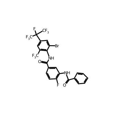 O=C(Nc1cc(C(=O)Nc2c(Br)cc(C(F)(C(F)(F)F)C(F)(F)F)cc2C(F)(F)F)ccc1F)c1ccccc1